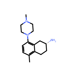 Cc1ccc(N2CCN(C)CC2)c2c1CC[C@@H](N)C2